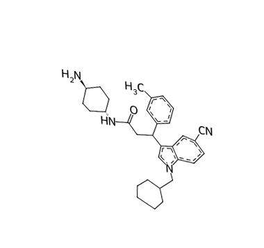 Cc1cccc(C(CC(=O)N[C@H]2CC[C@H](N)CC2)c2cn(CC3CCCCC3)c3ccc(C#N)cc23)c1